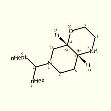 CCCCCCCC(CCCCCC)N1CC[C@H]2NCCO[C@H]2C1